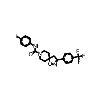 O=C(Nc1ccc(I)cc1)N1CCC2(CC1)CC(c1ccc(C(F)(F)F)cc1)=NO2